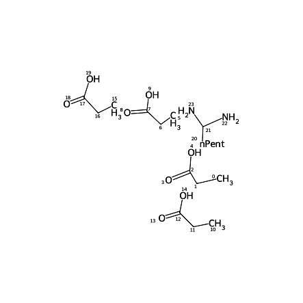 CCC(=O)O.CCC(=O)O.CCC(=O)O.CCC(=O)O.CCCCCC(N)N